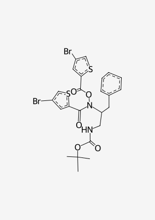 CC(C)(C)OC(=O)NCC(Cc1ccccc1)N(OC(=O)c1cc(Br)cs1)C(=O)c1cc(Br)cs1